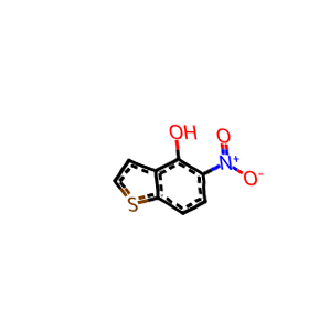 O=[N+]([O-])c1ccc2sccc2c1O